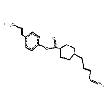 C=CCCCC1CCC(C(=O)Oc2ccc(C=CC(=O)O)cc2)CC1